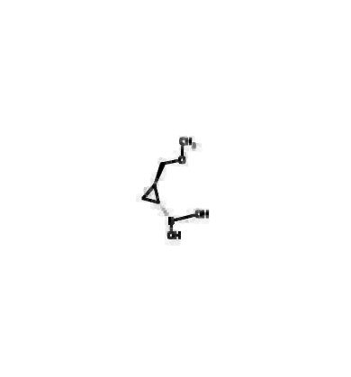 COC[C@@H]1C[C@H]1B(O)O